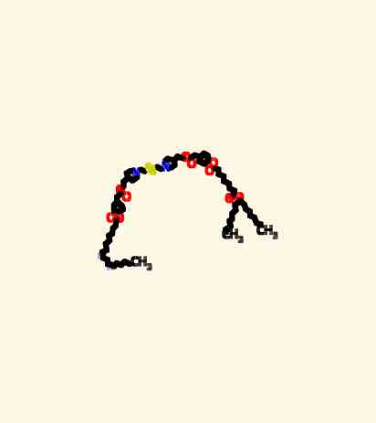 CCCCC/C=C\C/C=C\CCCCCCCC(=O)Oc1ccc(CC(=O)OCCC2CCN(CCSSCCN3CCC(CCOC(=O)Cc4ccc(OC(=O)CCCCCCCC(=O)OC(CCCCCCCC)CCCCCCCC)cc4)CC3)CC2)cc1